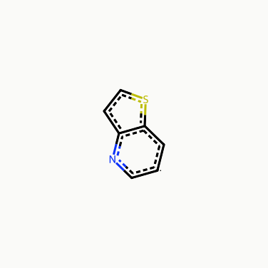 [c]1cnc2ccsc2c1